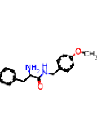 COc1ccc(CNC(=O)[C@H](N)Cc2ccccc2)cc1